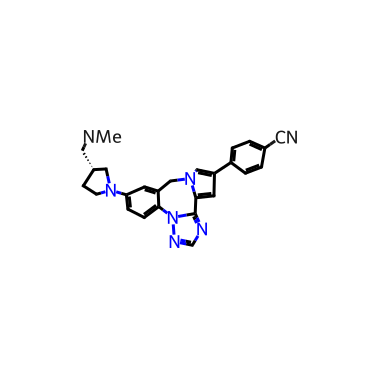 CNC[C@H]1CCN(c2ccc3c(c2)Cn2cc(-c4ccc(C#N)cc4)cc2-c2ncnn2-3)C1